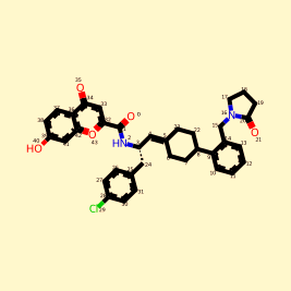 O=C(N[C@H](C=C1CCC(c2ccccc2CN2CCCC2=O)CC1)Cc1ccc(Cl)cc1)c1cc(=O)c2ccc(O)cc2o1